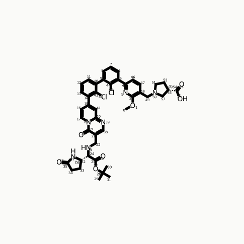 COc1nc(-c2cccc(-c3cccc(-c4ccn5c(=O)c(CNC(C(=O)OC(C)(C)C)[C@@H]6CCC(=O)N6)cnc5c4)c3Cl)c2Cl)ccc1CN1CC[C@H](C(=O)O)C1